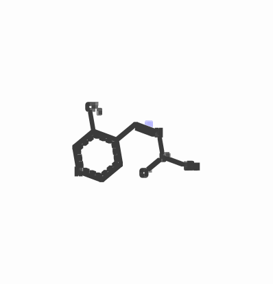 CC(C)(C)[S+]([O-])/N=C\c1ccncc1C(F)(F)F